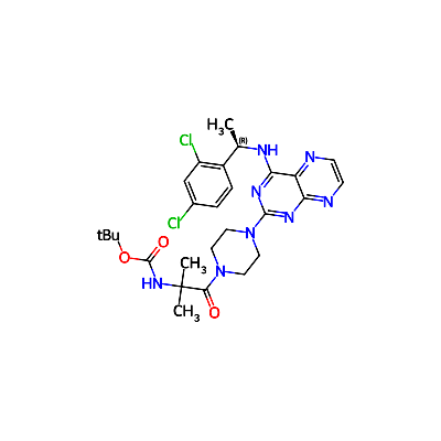 C[C@@H](Nc1nc(N2CCN(C(=O)C(C)(C)NC(=O)OC(C)(C)C)CC2)nc2nccnc12)c1ccc(Cl)cc1Cl